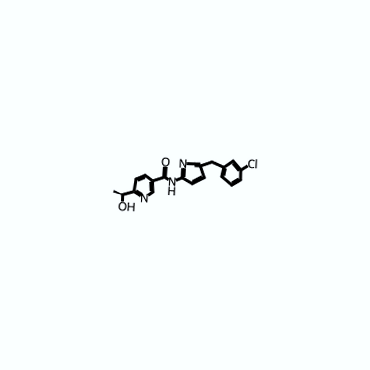 C[C@H](O)c1ccc(C(=O)Nc2ccc(Cc3cccc(Cl)c3)cn2)cn1